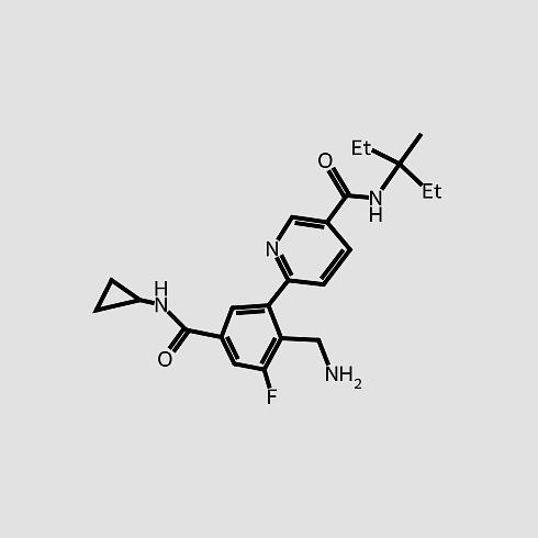 CCC(C)(CC)NC(=O)c1ccc(-c2cc(C(=O)NC3CC3)cc(F)c2CN)nc1